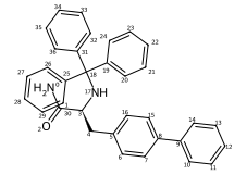 NC(=O)[C@H](Cc1ccc(-c2ccccc2)cc1)NC(c1ccccc1)(c1ccccc1)c1ccccc1